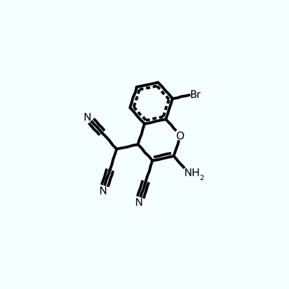 N#CC1=C(N)Oc2c(Br)cccc2C1C(C#N)C#N